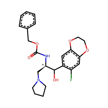 O=C(N[C@H](CN1CCCC1)C(O)c1cc2c(cc1F)OCCO2)OCc1ccccc1